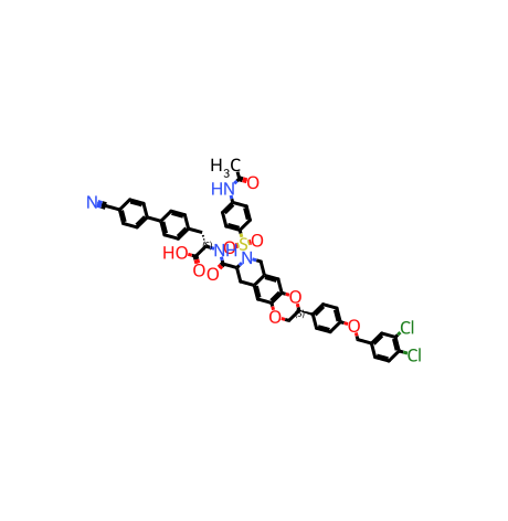 CC(=O)Nc1ccc(S(=O)(=O)N2Cc3cc4c(cc3CC2C(=O)N[C@@H](Cc2ccc(-c3ccc(C#N)cc3)cc2)C(=O)O)OC[C@H](c2ccc(OCc3ccc(Cl)c(Cl)c3)cc2)O4)cc1